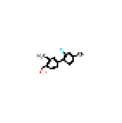 Cc1cc(-c2ccc(C#N)cc2F)ccc1CO